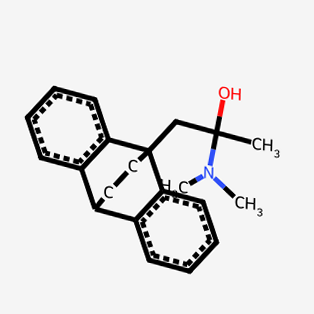 CN(C)C(C)(O)CC12CCC(c3ccccc31)c1ccccc12